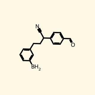 Bc1cccc(CCC(C#N)c2ccc(C=O)cc2)c1